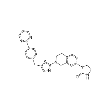 O=C1NCCN1c1ccc2c(c1)CN(c1ncc(Cc3ccc(-c4ncccn4)cc3)s1)CC2